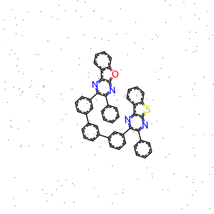 c1ccc(-c2nc3oc4ccccc4c3nc2-c2cccc(-c3cccc(-c4cccc(-c5nc6c(nc5-c5ccccc5)sc5ccccc56)c4)c3)c2)cc1